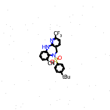 CC(C)(C)c1ccc(S(=O)(=O)N2Cc3ccc(C(F)(F)F)nc3Nc3cccc(C#N)c32)cc1